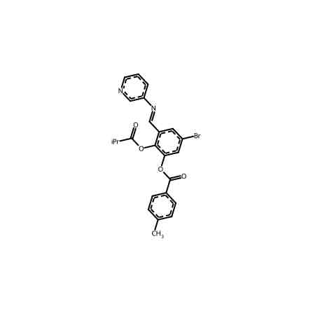 Cc1ccc(C(=O)Oc2cc(Br)cc(C=Nc3cccnc3)c2OC(=O)C(C)C)cc1